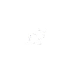 CC1NC2CN(C)CC23CC13